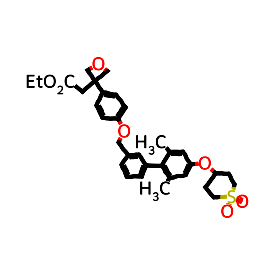 CCOC(=O)CC1(c2ccc(OCc3cccc(-c4c(C)cc(OC5CCS(=O)(=O)CC5)cc4C)c3)cc2)COC1